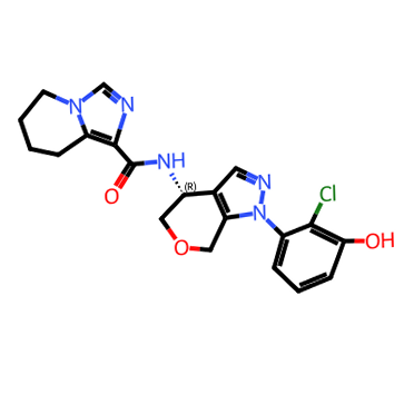 O=C(N[C@H]1COCc2c1cnn2-c1cccc(O)c1Cl)c1ncn2c1CCCC2